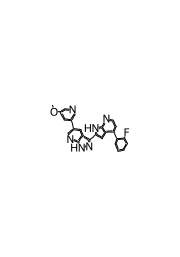 COc1cncc(-c2cnc3[nH]nc(-c4cc5c(-c6ccccc6F)ccnc5[nH]4)c3c2)c1